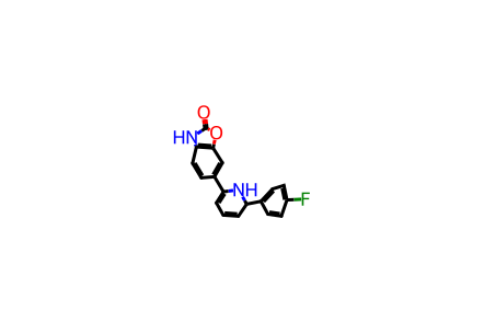 O=c1[nH]c2ccc(C3=CC=CC(c4ccc(F)cc4)N3)cc2o1